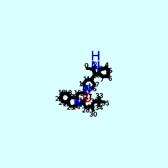 Cc1[nH]c2ccccc2c1C1CCN(CCC2c3ccccc3CCN2C(=O)CC(C)CC(C)(C)C)CC1